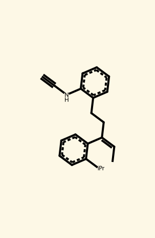 C#CNc1ccccc1CC/C(=C/C)c1ccccc1C(C)C